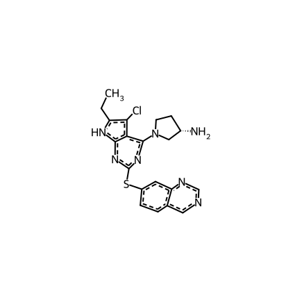 CCc1[nH]c2nc(Sc3ccc4cncnc4c3)nc(N3CC[C@H](N)C3)c2c1Cl